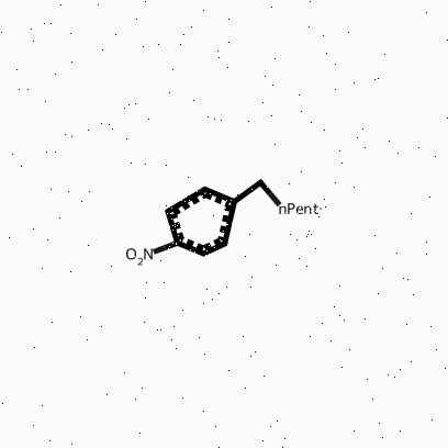 CCCC[CH]Cc1ccc([N+](=O)[O-])cc1